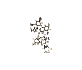 C[C@H]1Cc2c(c3c(c4cc(F)cc(F)c24)-c2cc(Br)cc(Br)c2C3(C)C)C=CC1(c1ccc(F)cc1)c1ccc(N2CCCCC2)cc1